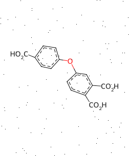 O=C(O)c1ccc(Oc2ccc(C(=O)O)c(C(=O)O)c2)cc1